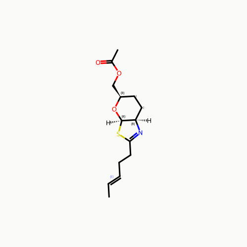 C/C=C/CCC1=N[C@@H]2[C][C][C@H](COC(C)=O)O[C@@H]2S1